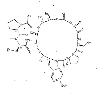 COc1ccc(C[C@H]2C(=O)OC[C@H](NC(=O)[C@@H](CC(C)C)N(C)C(=O)[C@@H]3CCCN3C(=O)C(C)=O)C(=O)N[C@H](C(C)C)[C@@H](O)CC(=O)O[C@@H](C(C)C)C(=O)N[C@@H](CC(C)C)C(=O)N3CCC[C@H]3C(=O)N2C)cc1